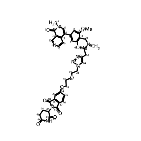 COc1cc(-c2cn(C)c(=O)c3cnccc23)cc(OC)c1CN(C)CCc1cn(CCOCCOc2ccc3c(c2)C(=O)N(C2CCC(=O)NC2=O)C3=O)nn1